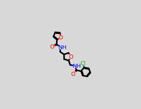 O=C(NCC1COC(CNC(=O)c2ccccc2Cl)C1)c1ccco1